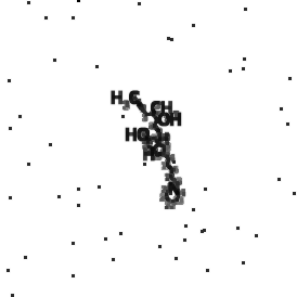 CC#CC[C@H](C)[C@H](O)/C=C/[C@@H]1[C@H]2CC(CCCCCN3CCCCC3)=C[C@H]2C[C@H]1O